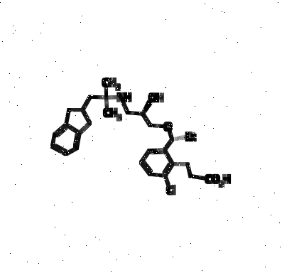 CC[C@@H](OC[C@H](O)CNC(C)(C)CC1Cc2ccccc2C1)c1cccc(Cl)c1CCC(=O)O